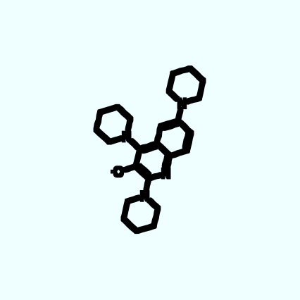 [O]c1c(N2CCCCC2)nc2ccc(N3CCCCC3)cc2c1N1CCCCC1